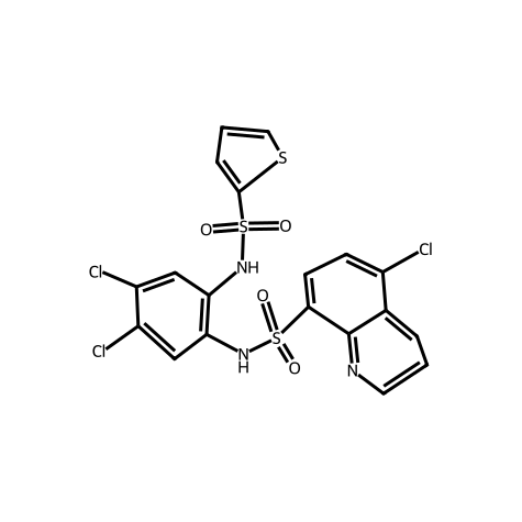 O=S(=O)(Nc1cc(Cl)c(Cl)cc1NS(=O)(=O)c1ccc(Cl)c2cccnc12)c1cccs1